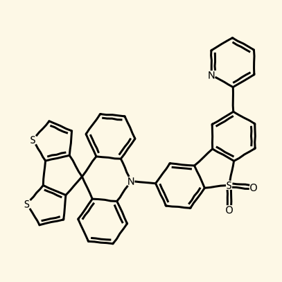 O=S1(=O)c2ccc(-c3ccccn3)cc2-c2cc(N3c4ccccc4C4(c5ccccc53)c3ccsc3-c3sccc34)ccc21